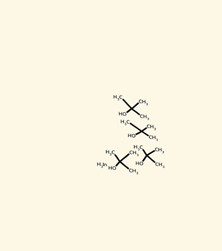 CC(C)(C)O.CC(C)(C)O.CC(C)(C)O.CC(C)(C)O.[InH3]